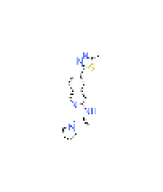 C=C(CN1CCCC1)Nc1cc2cc(-c3nnc(C)s3)ccc2cn1